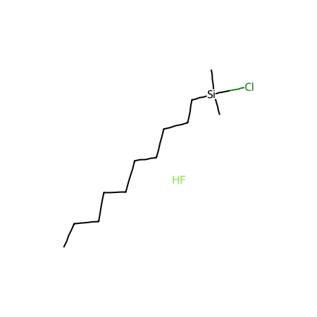 CCCCCCCCCC[Si](C)(C)Cl.F